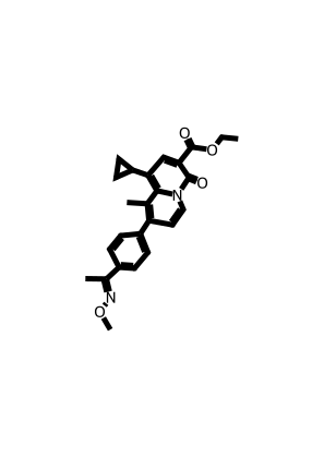 CCOC(=O)c1cc(C2CC2)c2c(C)c(-c3ccc(C(C)=NOC)cc3)ccn2c1=O